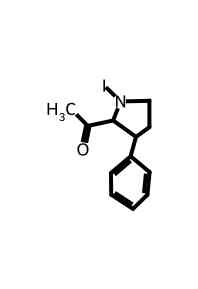 CC(=O)C1C(c2ccccc2)CCN1I